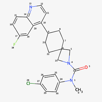 CN(C(=O)N1CC2(CCC(c3ccnc4ccc(F)cc34)CC2)C1)c1ccc(Cl)cc1